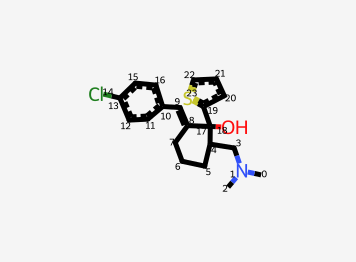 CN(C)CC1CCCC(=Cc2ccc(Cl)cc2)C1(O)c1cccs1